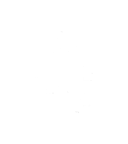 COC(=O)Cc1c(C)cn2nc3cc2c1N1CCC(C)(CC1)OCC(C)CCOc1ccc(C#N)cc1-c1cccc-3c1